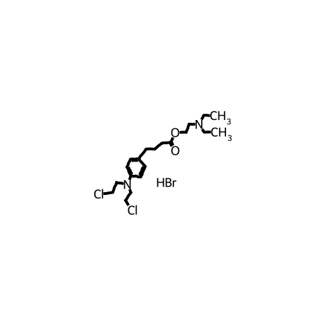 Br.CCN(CC)CCOC(=O)CCCc1ccc(N(CCCl)CCCl)cc1